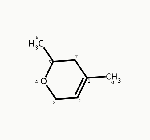 CC1=CCOC(C)C1